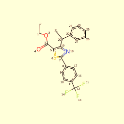 CCOC(=O)c1sc(-c2ccc(C(F)(F)F)cc2)nc1C(C)c1ccccc1